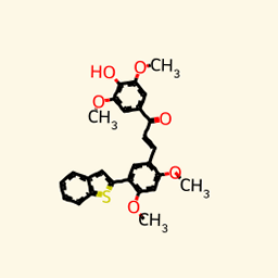 COc1cc(OC)c(-c2cc3ccccc3s2)cc1C=CC(=O)c1cc(OC)c(O)c(OC)c1